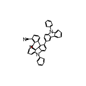 N#Cc1cccc(-c2c(-c3ccc4c(c3)c3ccccc3n4-c3ccccc3)ccc3c2c2ccccc2n3-c2ccccc2)c1C#N